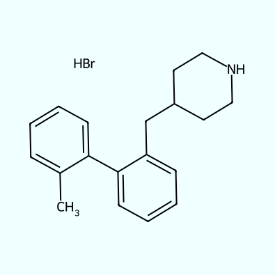 Br.Cc1ccccc1-c1ccccc1CC1CCNCC1